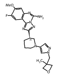 COc1cc2nc(N)n3nc([C@@H]4CCCN(c5cnn(CC6(C)COC6)c5)C4)nc3c2cc1F